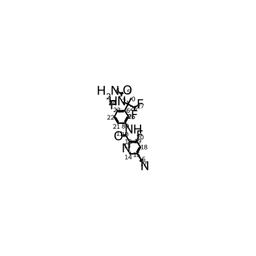 CC(NC(N)=O)(c1cc(NC(=O)c2ncc(C#N)cc2F)ccc1F)C(F)F